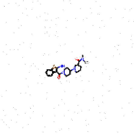 CCN(CC)C(=O)C1CCCN(C2CCN(C(=O)c3c(N)sc4ccccc34)CC2)C1